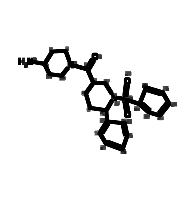 NC1CCN(C(=O)C2CCC(c3ccccc3)N(S(=O)(=O)c3ccccc3)C2)CC1